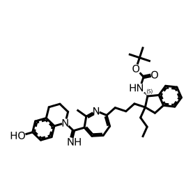 CCCC1(CCCC2=CC=C=C(C(=N)N3CCCc4cc(O)ccc43)C(C)=N2)Cc2ccccc2[C@H]1NC(=O)OC(C)(C)C